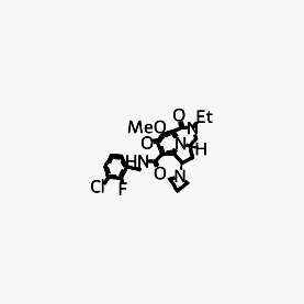 CCN1C[C@@H]2C[C@@H](N3CCC3)c3c(C(=O)NCc4cccc(Cl)c4F)c(=O)c(OC)c(n32)C1=O